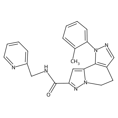 Cc1ccccc1-n1ncc2c1-c1cc(C(=O)NCc3ccccn3)nn1CC2